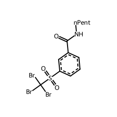 CCCCCNC(=O)c1cccc(S(=O)(=O)C(Br)(Br)Br)c1